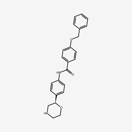 O=C(Nc1ccc([C@@H]2CNCCO2)cc1)c1ccc(OCc2ccccc2)cc1